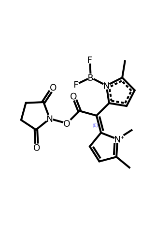 CC1=[N+](C)/C(=C(/C(=O)ON2C(=O)CCC2=O)c2ccc(C)n2B(F)F)C=C1